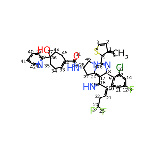 C=C1C=CSC1C1=N[C@@H](c2ccc(F)cc2Cl)C(C(=N)/C=C\CC(F)F)=C2C[C@H](NC(=O)C3=CCCC(O)(c4ccccn4)CC3)CN12